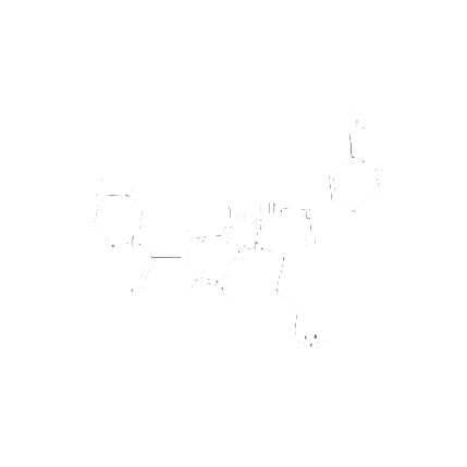 COCCCn1c(NC(=O)c2cccc(C#N)c2)nc2cc(C(=O)N3CCOCC3)cnc21